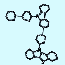 c1ccc(-c2ccc(-n3c4ccccc4c4ccc(-c5ccc(-n6c7ccccc7c7sc8ccccc8c76)cc5)cc43)cc2)cc1